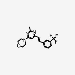 Cc1nc(C=Cc2cccc(C(F)(F)F)c2)cc(N2CCOCC2)n1